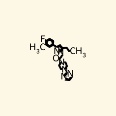 CCCc1cc(-c2ccc(F)c(C)c2)nn1CC(=O)N1CCN(c2ncccn2)CC1